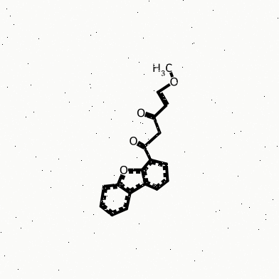 COC=CC(=O)CC(=O)c1cccc2c1oc1ccccc12